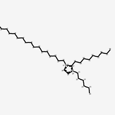 CCCCCCCCCCCCCCCCC[n+]1ccn(CCCCCC)c1CCCCCCCCC